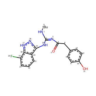 CC(C)(C)N/C(=N/C(=O)Cc1ccc(O)cc1)Nc1n[nH]c2c(F)cccc12